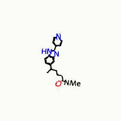 CNC(=O)CCCC(C)c1ccc2[nH]c(-c3ccncc3)nc2c1